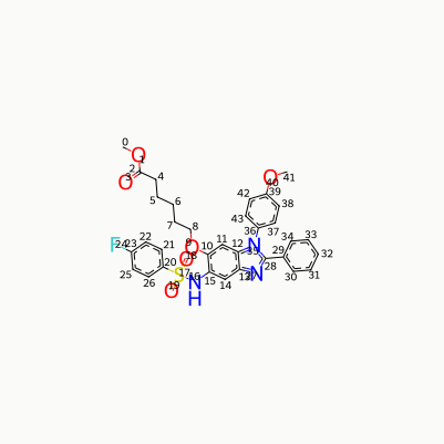 COC(=O)CCCCCOc1cc2c(cc1NS(=O)(=O)c1ccc(F)cc1)nc(-c1ccccc1)n2-c1ccc(OC)cc1